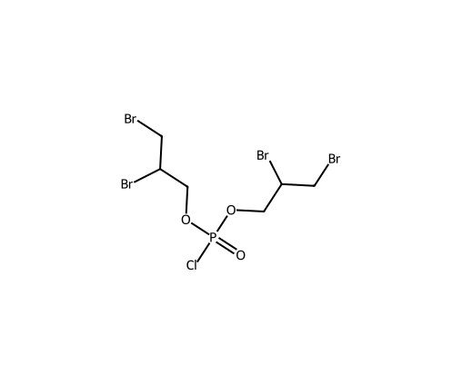 O=P(Cl)(OCC(Br)CBr)OCC(Br)CBr